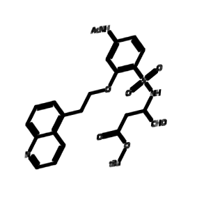 CC(=O)Nc1ccc(S(=O)(=O)NC(C=O)CC(=O)OC(C)(C)C)c(OCCc2cccc3ncccc23)c1